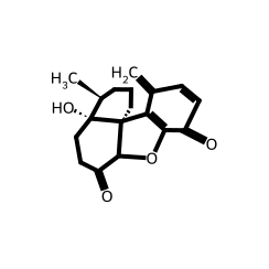 C=C1C=CC(=O)C2=C1[C@]13CCC[C@H](C)[C@]1(O)CCC(=O)C3O2